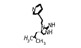 CC(C)C[C@H]1CNC(=N)N1CCc1cccnc1